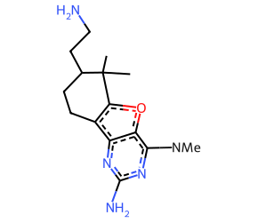 CNc1nc(N)nc2c3c(oc12)C(C)(C)C(CCN)CC3